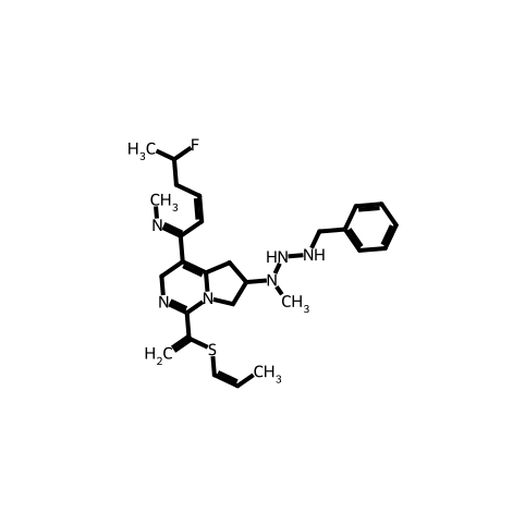 C=C(S/C=C\C)C1=NCC(C(/C=C\CC(C)F)=N/C)=C2CC(N(C)NNCc3ccccc3)CN12